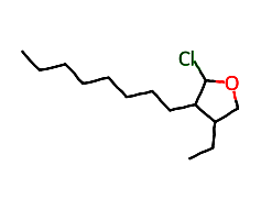 CCCCCCCCC1C(CC)COC1Cl